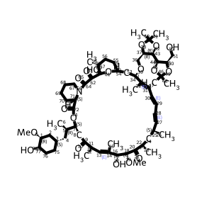 CO[C@@H]1C[C@H](C[C@@H](C)[C@@H]2CC(=O)[C@H](C)/C=C(\C)[C@@H](O)[C@@H](OC)C(=O)[C@H](C)C[C@H](C)/C=C/C=C/C=C(\C)[C@@H](OC[C@H]3OC(C)(C)O[C@H]3[C@@H]3OC(C)(C)O[C@@H]3CO)C[C@@H]3CC[C@@H](C)[C@@](O)(O3)C(=O)C(=O)N3CCCC[C@H]3C(=O)O2)CC[C@H]1O